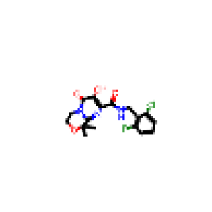 CC1(C)OCCn2c1nc(C(=O)NCc1c(F)cccc1Cl)c(O)c2=O